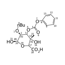 CCCCO[C@H]1C(OC(=O)Oc2ccccc2)[C@](C)(O)C(C(=O)O)O[C@H]1O